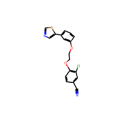 N#Cc1ccc(OCCOc2cccc(-c3cncs3)c2)c(Cl)c1